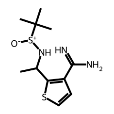 CC(N[S+]([O-])C(C)(C)C)c1sccc1C(=N)N